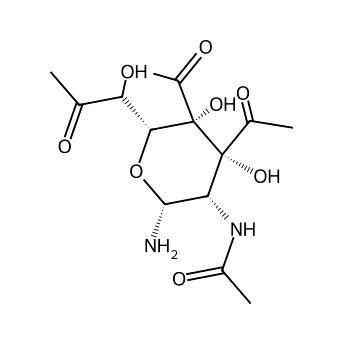 CC(=O)N[C@@H]1[C@H](N)O[C@H](C(O)C(C)=O)[C@@](O)(C(C)=O)[C@@]1(O)C(C)=O